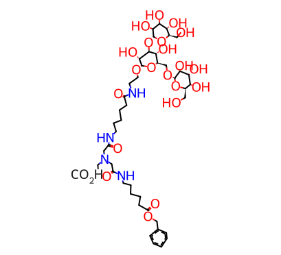 O=C(O)CN(CC(=O)NCCCCCC(=O)NCCO[C@@H]1O[C@H](CO[C@H]2O[C@H](CO)[C@@H](O)[C@H](O)[C@@H]2O)[C@@H](O)[C@H](O[C@H]2O[C@H](CO)[C@@H](O)[C@H](O)[C@@H]2O)[C@H]1O)CC(=O)NCCCCCC(=O)OCc1ccccc1